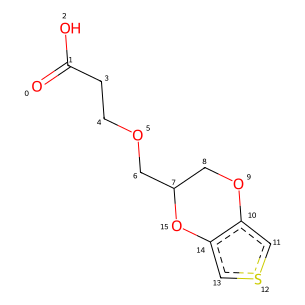 O=C(O)CCOCC1COc2cscc2O1